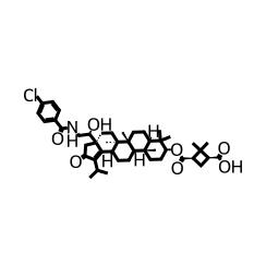 CC(C)C1=C2[C@H]3CC[C@@H]4[C@@]5(C)CC[C@H](OC(=O)[C@@H]6C[C@H](C(=O)O)C6(C)C)C(C)(C)[C@@H]5CC[C@@]4(C)[C@]3(C)CC[C@@]2([C@@H](O)CNC(=O)c2ccc(Cl)cc2)CC1=O